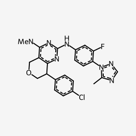 CNc1nc(Nc2ccc(-n3ncnc3C)c(F)c2)nc2c1COCC2c1ccc(Cl)cc1